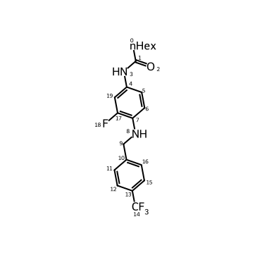 CCCCCCC(=O)Nc1ccc(NCc2ccc(C(F)(F)F)cc2)c(F)c1